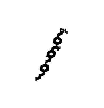 CCC[C@H]1CC[C@H](C(F)CC2CCC(CC[C@H]3CC[C@H](CCCF)CC3)CC2)CC1